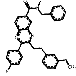 CN(Cc1ccccc1)C(=O)c1ccc2nc(-c3ccc(F)cc3)c(CCc3cccc(CC(=O)O)c3)nc2c1